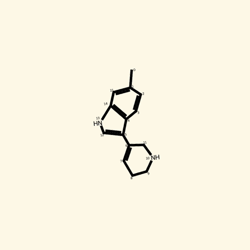 Cc1ccc2c(C3=CCCNC3)c[nH]c2c1